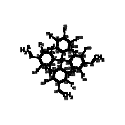 C=Cc1c(F)c(F)c([B-](c2c(F)c(F)c(F)c(F)c2F)(c2c(F)c(F)c(C=C)c(F)c2F)c2c(F)c(F)c(C=C)c(F)c2F)c(F)c1F